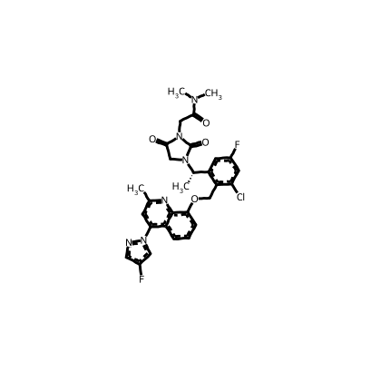 Cc1cc(-n2cc(F)cn2)c2cccc(OCc3c(Cl)cc(F)cc3[C@H](C)N3CC(=O)N(CC(=O)N(C)C)C3=O)c2n1